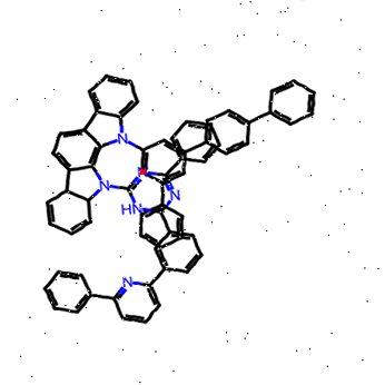 C1=CC2c3ccc4c5ccccc5n(-c5cc(-c6ccccc6)cc(-c6ccc(-c7ccccc7)cc6)c5)c4c3N(C3=NC(c4ccccc4)=NC(c4cccc(-c5cccc(-c6ccccc6)n5)c4)N3)C2C=C1